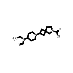 CCN(C=O)C1CCN(C2CC3(CCN(C(=O)O)C3)C2)CC1